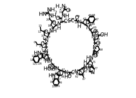 CCCC[C@H]1C(=O)N(C)[C@@H](CCCC)C(=O)N[C@@H](CCCNC(=N)N)C(=O)N[C@H](C(=O)NCC(N)=O)CSCC(=O)N[C@@H](Cc2ccccc2)C(=O)N(C)[C@@H](C)C(=O)N[C@@H](CC(=O)O)C(=O)N2CCC[C@H]2C(=O)N[C@@H](Cc2cnc[nH]2)C(=O)N[C@@H](CC(C)C)C(=O)N(C)CC(=O)N[C@@H](Cc2c[nH]c3ccccc23)C(=O)N[C@@H](CO)C(=O)N[C@@H](Cc2c[nH]c3ccccc23)C(=O)N1C